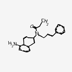 CCC(=O)N(CC=Cc1ccccc1)C1CCc2c(N)cccc2C1